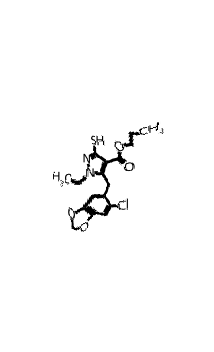 CCCOC(=O)c1c(S)nn(CC)c1Cc1cc2c(cc1Cl)OCO2